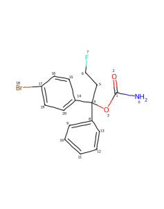 NC(=O)OC(CCF)(c1ccccc1)c1ccc(Br)cc1